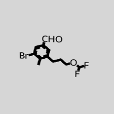 Cc1c(Br)cc(C=O)cc1CCCOC(F)F